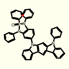 O=P1(c2ccccc2)N(c2ccccc2)c2ccc(-n3c4ccccc4c4cc5c6ccccc6n(-c6ccccc6)c5cc43)cc2N1c1ccccc1